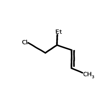 C/C=C/C(CC)CCl